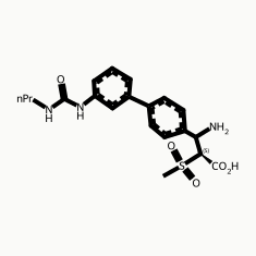 CCCNC(=O)Nc1cccc(-c2ccc(C(N)[C@@H](C(=O)O)S(C)(=O)=O)cc2)c1